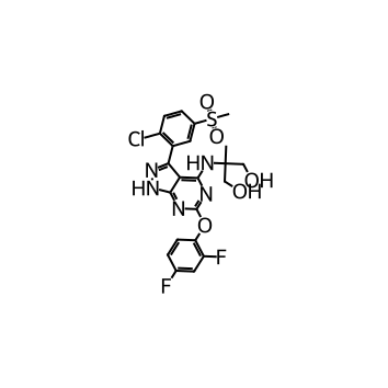 CC(CO)(CO)Nc1nc(Oc2ccc(F)cc2F)nc2[nH]nc(-c3cc(S(C)(=O)=O)ccc3Cl)c12